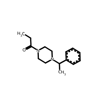 CCC(=O)N1CCN(C(C)c2ccccc2)CC1